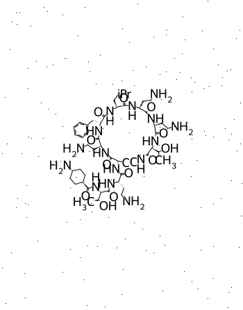 CC(C)C[C@@H]1NC(=O)[C@@H](Cc2ccccc2)NC(=O)[C@H](CCN)NC(=O)[C@@H](NC(=O)[C@H](CCN)NC(=O)[C@@H](NC(=O)[C@H]2CC[C@H](N)CC2)C(C)O)CCNC(=O)[C@H](C(C)O)NC(=O)[C@H](CCN)NC(=O)[C@H](CCN)NC1=O